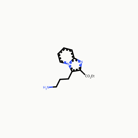 CCOC(=O)c1nc2ccccn2c1CCCN